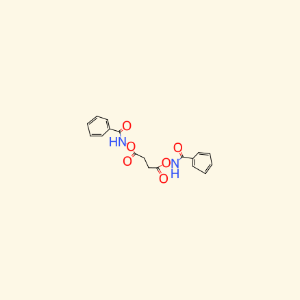 O=C(CCC(=O)ONC(=O)c1ccccc1)ONC(=O)c1ccccc1